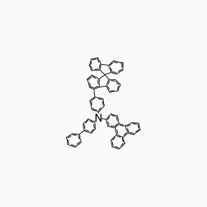 c1ccc(-c2ccc(N(c3ccc(-c4cccc5c4-c4ccccc4C54c5ccccc5-c5ccccc54)cc3)c3ccc4c5ccccc5c5ccccc5c4c3)cc2)cc1